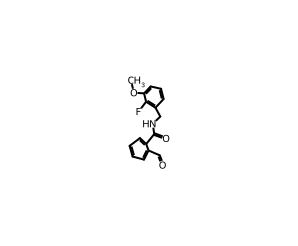 COc1cccc(CNC(=O)c2ccccc2C=O)c1F